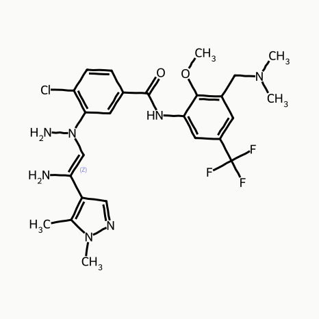 COc1c(CN(C)C)cc(C(F)(F)F)cc1NC(=O)c1ccc(Cl)c(N(N)/C=C(\N)c2cnn(C)c2C)c1